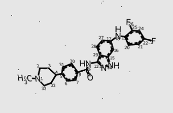 CN1CCC(c2ccc(C(=O)Nc3n[nH]c4cc(Nc5ccc(F)cc5F)ccc34)cc2)CC1